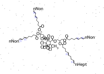 CCCCCCC/C=C/CC/C=C/CCCC(=O)OC(COC(=O)CCC/C=C/C=C/CCCCCCCCC)COC(=O)C1C(C(=O)OCC(COC)(COC(=O)CCC/C=C/C=C/CCCCCCCCC)OC(=O)CCC/C=C/C=C/CCCCCCCCC)C2(Cl)C(Cl)=C(Cl)C1(C)C2(Cl)Cl